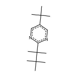 CC(C)(C)c1cnc(C(C)(C)C(C)(C)C)nc1